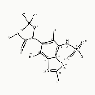 COC(=O)C(OC(C)(C)C)c1c(C)c(NS(C)(=O)=O)c2[nH]c(C)nc2c1Br